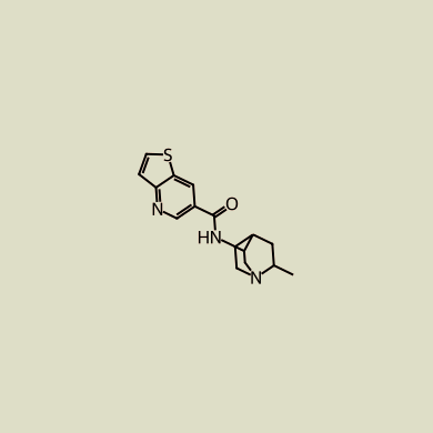 CC1CC2CCN1CC2NC(=O)c1cnc2ccsc2c1